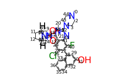 CN1CCN(c2nc(N3C[C@H]4CC[C@@H](C3)N4C(=O)OC(C)(C)C)c3cc(Cl)c(-c4cc(O)cc5ccccc45)c(F)c3n2)CC1